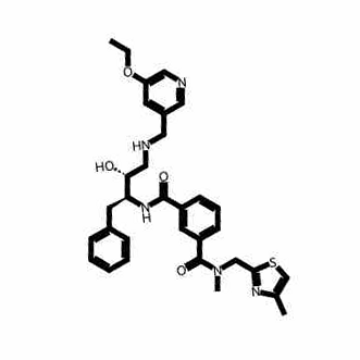 CCOc1cncc(CNC[C@@H](O)[C@H](Cc2ccccc2)NC(=O)c2cccc(C(=O)N(C)Cc3nc(C)cs3)c2)c1